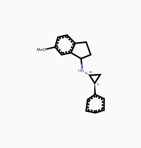 COc1ccc2c(c1)C(N[C@@H]1C[C@H]1c1ccccc1)CC2